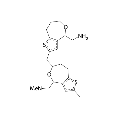 CNCC1OC(Cc2cc3c(s2)CCCOC3CN)CCc2sc(C)cc21